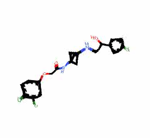 O=C(COc1ccc(Cl)c(Cl)c1)NC12CC(NCC(O)c3ccc(Cl)cc3)(C1)C2